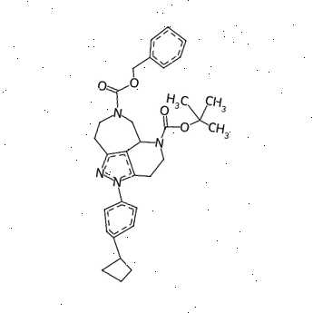 CC(C)(C)OC(=O)N1CCc2c3c(nn2-c2ccc(C4CCC4)cc2)CCN(C(=O)OCc2ccccc2)CC31